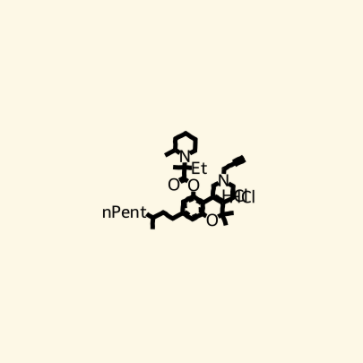 C#CCN1CCC2=C(C1)c1c(OC(=O)C(C)(CC)N3CCCCC3C)cc(CCC(C)CCCCC)cc1OC2(C)C.Cl.Cl